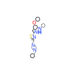 c1ccc(CN2CCN(CC[C@H]3CSC(c4cc5cc(Oc6ccccc6)cc(NC6CCCC6)c5[nH]4)=N3)CC2)cc1